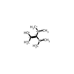 CC(O)=C(N(C)C)N(C)C